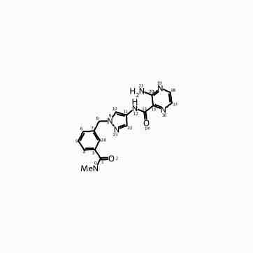 CNC(=O)c1cccc(Cn2cc(NC(=O)c3nccnc3N)cn2)c1